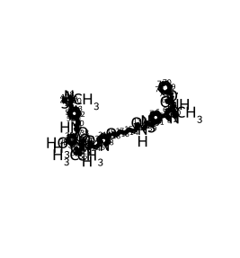 Cc1ncc(-c2ccc3nc(NC(=O)CCCCCOc4ccc(CC(=O)N[C@H](C(=O)N5C[C@H](O)C[C@H]5C(=O)NCc5ccc(-c6scnc6C)cc5)C(C)(C)C)nc4)sc3c2)cc1NC(=O)OC1CCCCC1